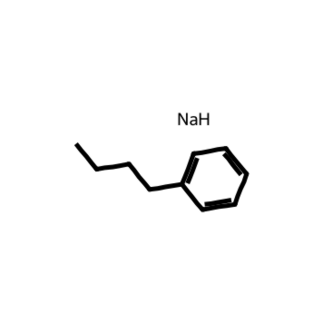 CCCCc1ccccc1.[NaH]